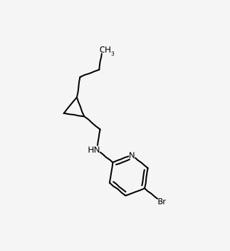 CCCC1CC1CNc1ccc(Br)cn1